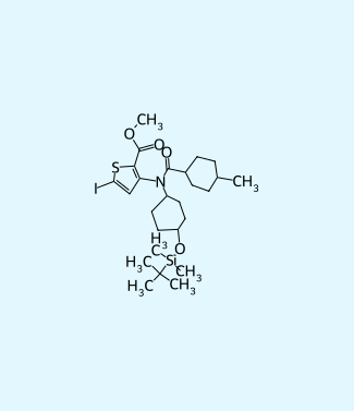 COC(=O)c1sc(I)cc1N(C(=O)C1CCC(C)CC1)C1CCC(O[Si](C)(C)C(C)(C)C)CC1